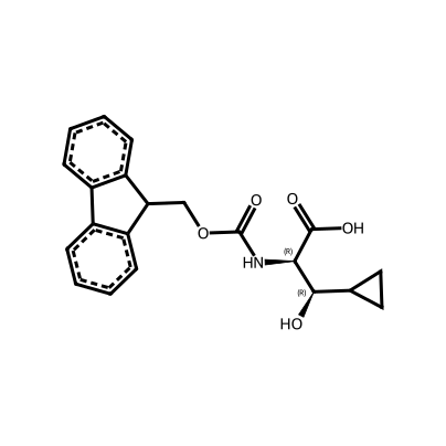 O=C(N[C@@H](C(=O)O)[C@H](O)C1CC1)OCC1c2ccccc2-c2ccccc21